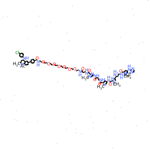 CC(=O)N1c2ccc(-c3ccc(C(=O)NCCOCCOCCOCCOCCOCCOCCOCCNC(=O)CCNC(=O)c4nc(NC(=O)CCNC(=O)c5cc(NC(=O)c6nc(C(N)CCNC(=O)c7cc(Nc8nccn8C)cn7C)cn6C)cn5C)cn4C)cc3)cc2[C@H](Nc2ccc(Cl)cc2)C[C@@H]1C